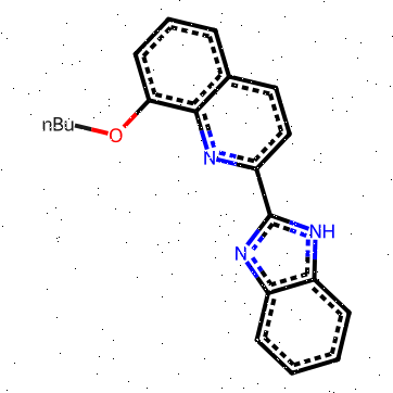 CCCCOc1cccc2ccc(-c3nc4ccccc4[nH]3)nc12